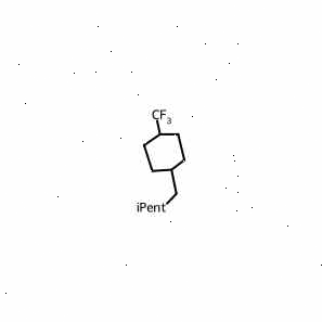 CCCC(C)CC1CCC(C(F)(F)F)CC1